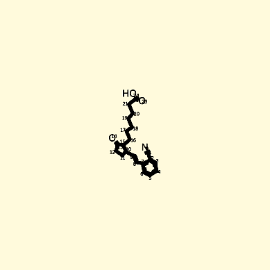 N#Cc1ccccc1C=CC1CCC(=O)C1CCCCCCC(=O)O